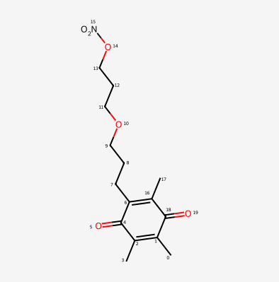 CC1=C(C)C(=O)C(CCCOCCCO[N+](=O)[O-])=C(C)C1=O